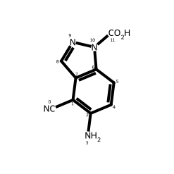 N#Cc1c(N)ccc2c1cnn2C(=O)O